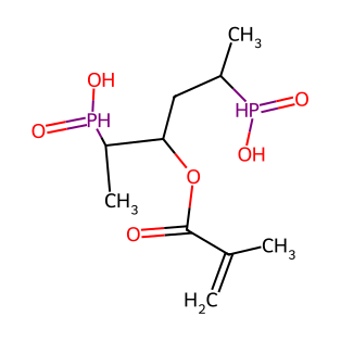 C=C(C)C(=O)OC(CC(C)[PH](=O)O)C(C)[PH](=O)O